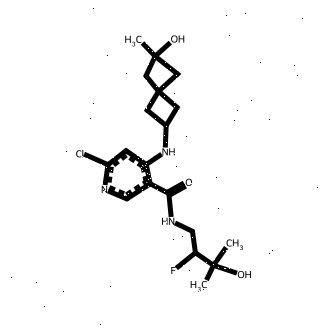 CC1(O)CC2(CC(Nc3cc(Cl)ncc3C(=O)NCC(F)C(C)(C)O)C2)C1